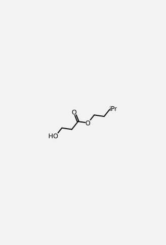 CC(C)CCOC(=O)CCO